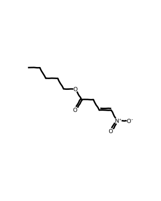 CCCCCOC(=O)CC=C[N+](=O)[O-]